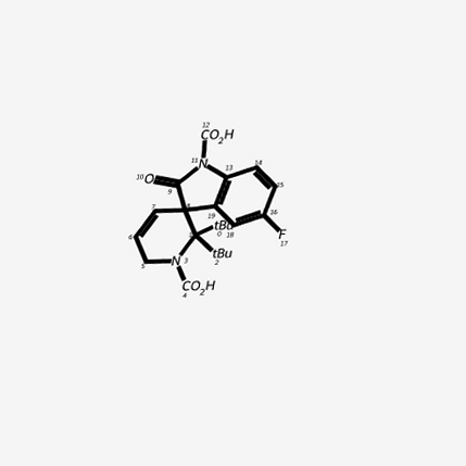 CC(C)(C)C1(C(C)(C)C)N(C(=O)O)CC=CC12C(=O)N(C(=O)O)c1ccc(F)cc12